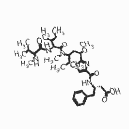 CCC(C)[C@H](NC(=O)C(NC)C(C)C)C(=O)N(C)C(CC(OC)c1nc(C(=O)N[C@H](CC(=O)O)Cc2ccccc2)cs1)C(C)C